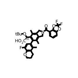 Cc1c(-c2c(C)c3c(c(C)c2[C@H](OC(C)(C)C)C(=O)O)CN(C(=O)c2cccc4c2OC(F)(F)O4)C3)cc(F)c2c1CCCO2